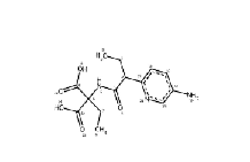 CCC(C(=O)NC(CC)(C(=O)O)C(=O)O)c1ccc(N)cn1